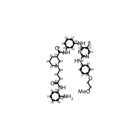 COCCOc1ccc(Nc2ncc(F)c(Nc3cccc(NC(=O)C4CCCN(CCCC(=O)Nc5ccccc5N)C4)c3)n2)cc1